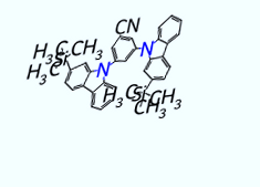 C[Si](C)(C)c1ccc2c3ccccc3n(-c3cc(C#N)cc(-n4c5ccccc5c5ccc([Si](C)(C)C)cc54)c3)c2c1